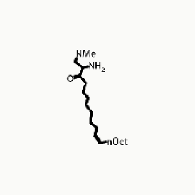 CCCCCCCC/C=C\CCCCCCCC(=O)C(N)CNC